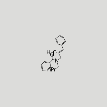 C/C(=C\c1ccccc1)CN(CC(C)C)C(=O)c1ccccc1